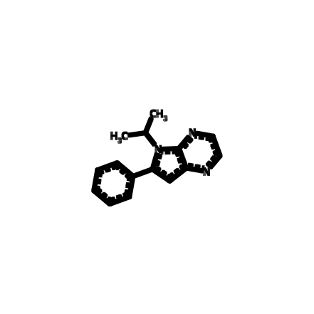 CC(C)n1c(-c2ccccc2)cc2nccnc21